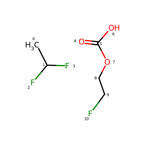 CC(F)F.O=C(O)OCCF